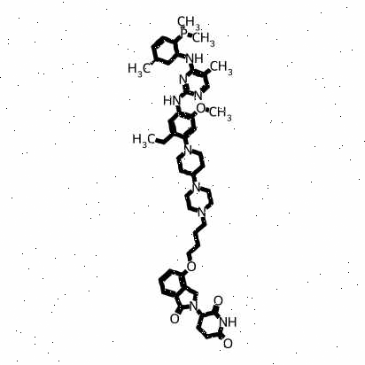 CCc1cc(Nc2ncc(C)c(NC3C[C@@H](C)C=CC3P(C)C)n2)c(OC)cc1N1CCC(N2CCN(CCCCOc3cccc4c3CN(C3CCC(=O)NC3=O)C4=O)CC2)CC1